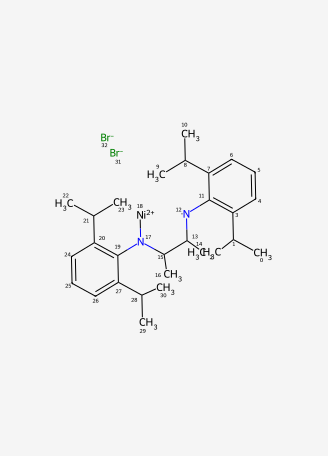 CC(C)c1cccc(C(C)C)c1[N]C(C)C(C)[N]([Ni+2])c1c(C(C)C)cccc1C(C)C.[Br-].[Br-]